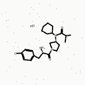 CC(C)C(=O)N(C1CCCCC1)[C@H]1CCN(C(=O)[C@H](N)Cc2ccc(Cl)cc2)C1.Cl